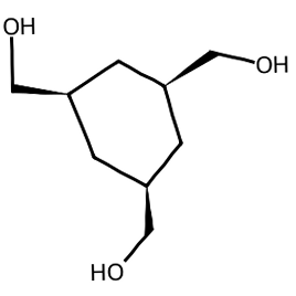 OC[C@H]1C[C@@H](CO)C[C@@H](CO)C1